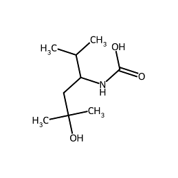 CC(C)C(CC(C)(C)O)NC(=O)O